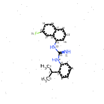 CC(C)c1ccccc1NC(=N)Nc1cccc2ccc(F)cc12